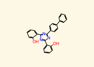 Oc1ccccc1-c1nc(-c2ccc(-c3ccccc3)cc2)nc(-c2ccccc2O)n1